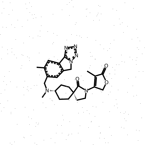 CC1=C(N2CC[C@]3(CC[C@@H](N(C)Cc4cc5c(cc4C)-c4nnnn4C5)CC3)C2=O)COC1=O